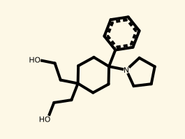 OCCC1(CCO)CCC(c2ccccc2)(N2CCCC2)CC1